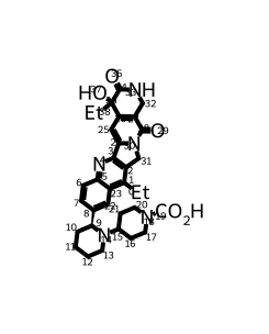 CCc1c2c(nc3ccc([C@@H]4CCCCN4C4CCN(C(=O)O)CC4)cc13)-c1cc3c(c(=O)n1C2)CNC(=O)C3(O)CC